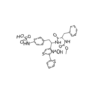 COC(=O)NC(Cc1ccccc1)C(=O)NC(Cc1ccc(NS(=O)(=O)O)cc1)c1csc(-c2cccs2)[n+]1O